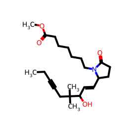 CCC#CCC(C)(C)C(O)/C=C/C1CCC(=O)N1CCCCCCC(=O)OC